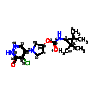 CC1(C)C(NC(=O)O[C@@H]2CCN(c3cn[nH]c(=O)c3Cl)C2)C1(C)C